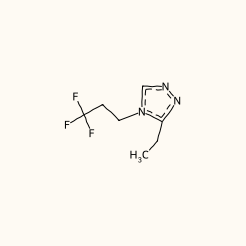 CCc1nncn1CCC(F)(F)F